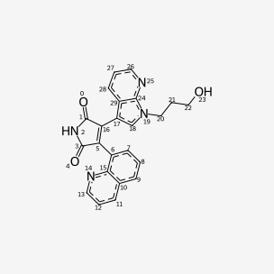 O=C1NC(=O)C(c2cccc3cccnc23)=C1c1cn(CCCO)c2ncccc12